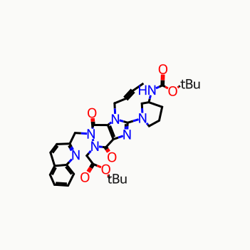 CC#CCn1c(N2CCCC(NC(=O)OC(C)(C)C)C2)nc2c(=O)n(CC(=O)OC(C)(C)C)n(Cc3ccc4ccccc4n3)c(=O)c21